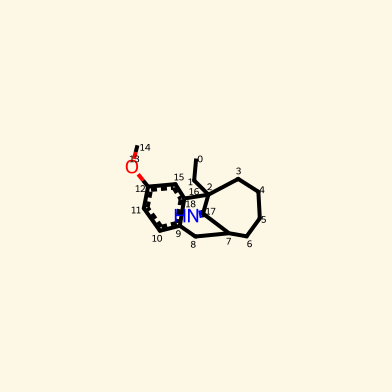 CCC12CCCCC(Cc3ccc(OC)cc31)C2=N